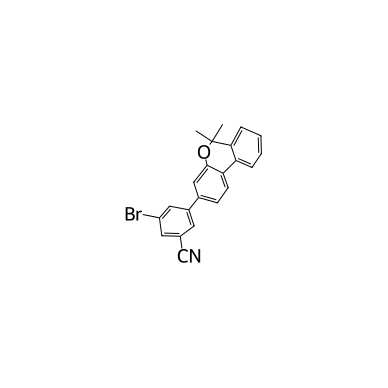 CC1(C)Oc2cc(-c3cc(Br)cc(C#N)c3)ccc2-c2ccccc21